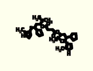 Cc1[nH]ccc1SC(CC(OC(=O)CCC(=O)OC(CC(Sc1cc[nH]c1C)C1CCCC1)N(C)C)N(C)C)C1CCCC1